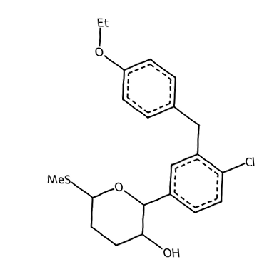 CCOc1ccc(Cc2cc(C3OC(SC)CCC3O)ccc2Cl)cc1